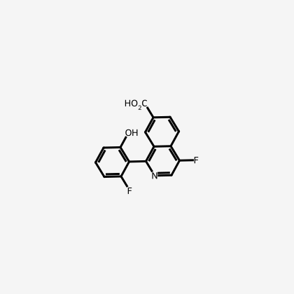 O=C(O)c1ccc2c(F)cnc(-c3c(O)cccc3F)c2c1